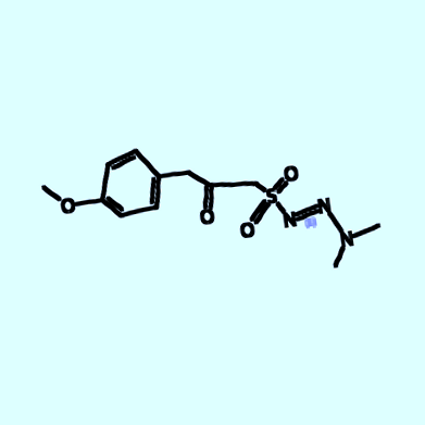 COc1ccc(CC(=O)CS(=O)(=O)/N=N/N(C)C)cc1